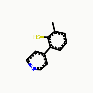 Cc1cccc(-c2ccncc2)c1S